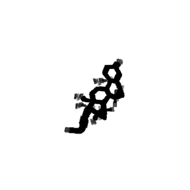 CCC12CCC3C(C1[C@@H]1C[C@@H]1[C@@]2(O)C#CC=O)[C@H]1C[C@H]1C1=CC(=O)CC[C@@]13C